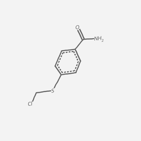 NC(=O)c1ccc(SCCl)cc1